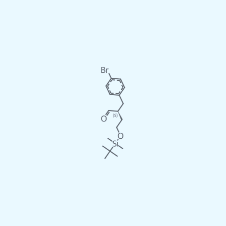 CC(C)(C)[Si](C)(C)OCC[C@@H](C=O)Cc1ccc(Br)cc1